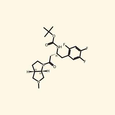 CN1C[C@@H]2CCN(C(=O)C[C@@H](Cc3cc(F)c(F)cc3F)NC(=O)OC(C)(C)C)[C@@H]2C1